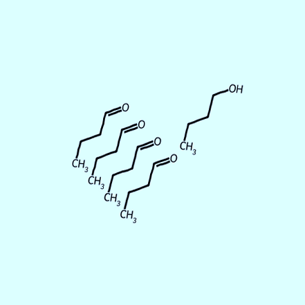 CCCC=O.CCCC=O.CCCC=O.CCCC=O.CCCCO